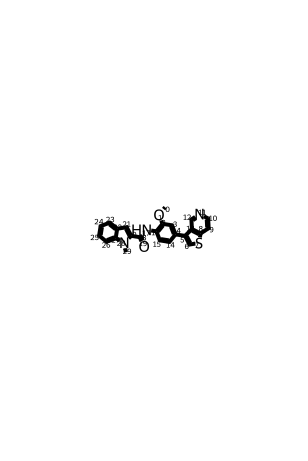 COc1cc(-c2csc3ccncc23)ccc1NC(=O)c1cc2ccccc2n1C